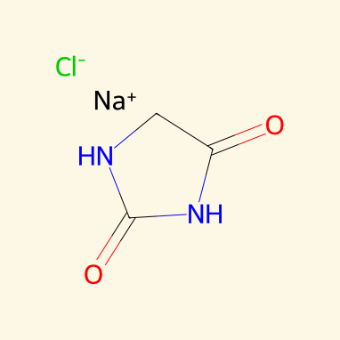 O=C1CNC(=O)N1.[Cl-].[Na+]